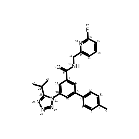 Cc1ccc(-c2cc(C(=O)NCc3cccc(F)n3)cc(-n3nnnc3C(C)C)c2)cc1